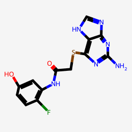 Nc1nc(SCC(=O)Nc2cc(O)ccc2F)c2[nH]cnc2n1